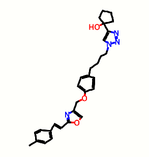 Cc1ccc(/C=C/c2nc(COc3ccc(CCCCn4cc(C5(O)CCCC5)nn4)cc3)co2)cc1